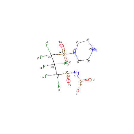 O=[SH](=O)NS(=O)(=O)C(F)(F)C(F)(F)C(F)(F)S(=O)(=O)N1CCNCC1